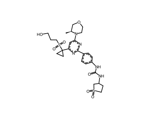 C[C@H]1COCCN1c1cc(C2(S(=O)(=O)CCCO)CC2)nc(-c2ccc(NC(=O)NC3CCS(=O)(=O)C3)cc2)n1